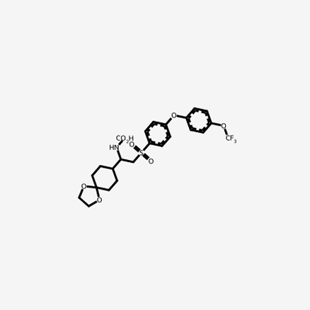 O=C(O)NC(CS(=O)(=O)c1ccc(Oc2ccc(OC(F)(F)F)cc2)cc1)C1CCC2(CC1)OCCO2